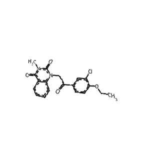 CCOc1ccc(C(=O)Cn2c(=O)n(C)c(=O)c3ccccc32)cc1Cl